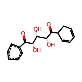 O=C(c1ccccc1)[C@@H](O)[C@H](O)[C@@H](O)C(=O)C1C=CC=CC1